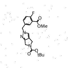 COC(=O)c1cc(Cn2cc3c(n2)CN(C(=O)OC(C)(C)C)C3)ccc1F